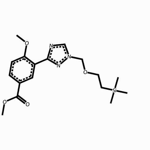 COC(=O)c1ccc(OC)c(-c2ncn(COCC[Si](C)(C)C)n2)c1